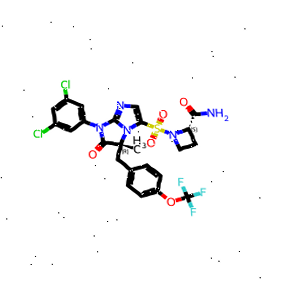 C[C@@]1(Cc2ccc(OC(F)(F)F)cc2)C(=O)N(c2cc(Cl)cc(Cl)c2)c2ncc(S(=O)(=O)N3CC[C@H]3C(N)=O)n21